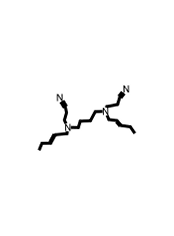 CCC=CCN(CCC#N)CCCCN(CC=CCC)CCC#N